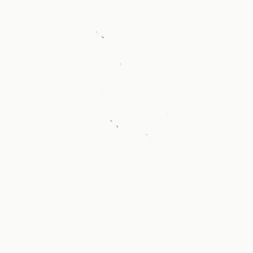 Cc1ccccc1C(=O)NC1CCNC1=O